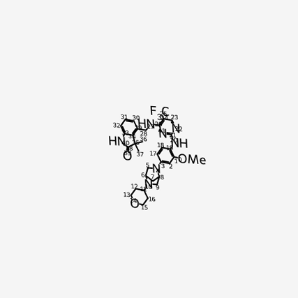 COc1cc(N2CC3CC2CN3C2CCOCC2)ccc1Nc1ncc(C(F)(F)F)c(NCc2cccc3c2C(C)(C)C(=O)N3)n1